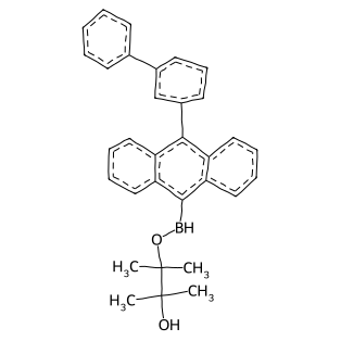 CC(C)(O)C(C)(C)OBc1c2ccccc2c(-c2cccc(-c3ccccc3)c2)c2ccccc12